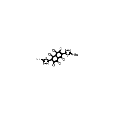 CCCCc1nnc(-c2c(Cl)c(Cl)c3c(Cl)c(-c4nnc(CCCC)s4)c(Cl)c(Cl)c3c2Cl)s1